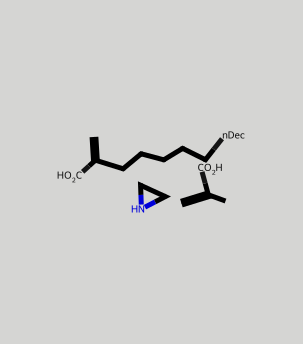 C1CN1.C=C(C)C(=O)O.C=C(CCCCCCCCCCCCCCC)C(=O)O